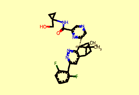 CC1(C)C2CC[C@]1(c1cncc(C(=O)NC3(CO)CC3)n1)c1nnc(-c3c(F)cccc3F)cc12